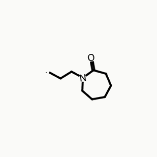 [CH2]CCN1CCCCCC1=O